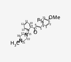 COc1ccc(C=CC(=O)c2ccccc2CN2CCN(C)CC2)c(F)c1